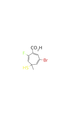 CC1(S)C=C(Br)C=C(C(=O)O)C(F)=C1